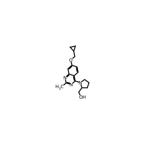 Cc1nc(N2CCCC2CO)c2ccc(OCC3CC3)cc2n1